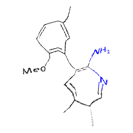 COc1ccc(C)cc1C1=C(N)N=C[C@H](C)C(C)=C1